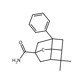 CC1(C)C2CC3(C(N)=O)CC4(c5ccccc5)CC1C24C3